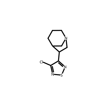 Clc1nsnc1C1CN2CCCC1C2